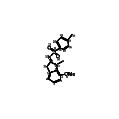 COc1cccc2c1N(C)C(=NS(=O)(=O)c1ccc(C)cc1)C2